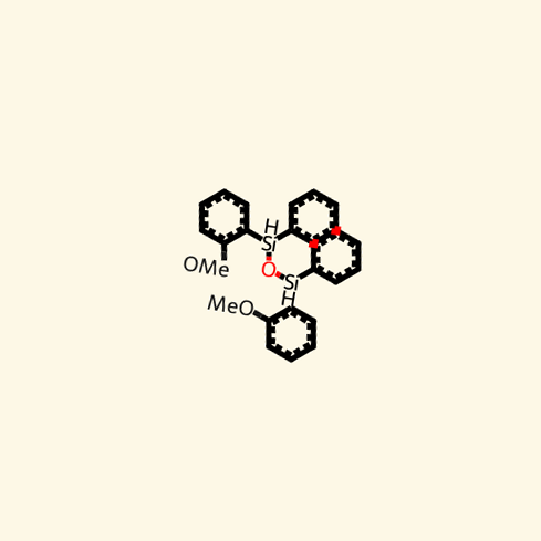 COc1ccccc1[SiH](O[SiH](c1ccccc1)c1ccccc1OC)c1ccccc1